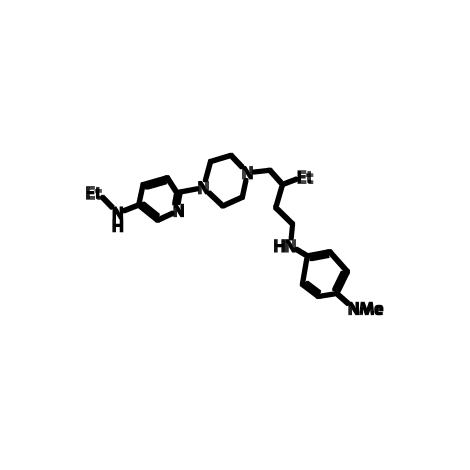 CCNc1ccc(N2CCN(CC(CC)CCNc3ccc(NC)cc3)CC2)nc1